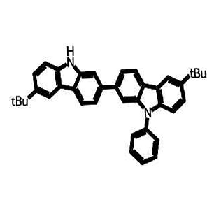 CC(C)(C)c1ccc2[nH]c3cc(-c4ccc5c6cc(C(C)(C)C)ccc6n(-c6ccccc6)c5c4)ccc3c2c1